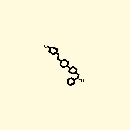 C[C@H](CC1CCC(C2CCC(CCc3ccc(Cl)cc3)CC2)CC1)c1ccccc1